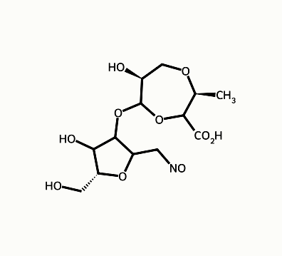 C[C@@H]1OC[C@H](O)C(OC2C(CN=O)O[C@H](CO)C2O)OC1C(=O)O